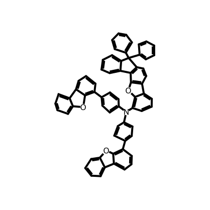 c1ccc(C2(c3ccccc3)c3ccccc3-c3c2ccc2c3oc3c(N(c4ccc(-c5cccc6c5oc5ccccc56)cc4)c4ccc(-c5cccc6c5oc5ccccc56)cc4)cccc32)cc1